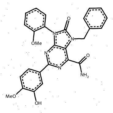 COc1ccc(-c2nc(C(N)=O)c3c(n2)n(-c2ccccc2OC)c(=O)n3Cc2ccccc2)cc1O